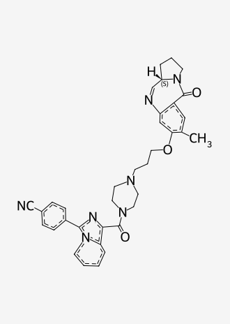 Cc1cc2c(cc1OCCCN1CCN(C(=O)c3nc(-c4ccc(C#N)cc4)n4ccccc34)CC1)N=C[C@@H]1CCCN1C2=O